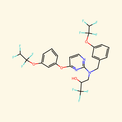 OC(CN(Cc1cccc(OC(F)(F)C(F)F)c1)c1nccc(Oc2cccc(OC(F)(F)C(F)F)c2)n1)C(F)(F)F